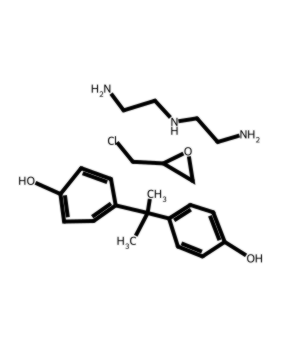 CC(C)(c1ccc(O)cc1)c1ccc(O)cc1.ClCC1CO1.NCCNCCN